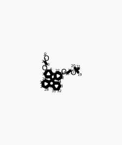 COCCOc1ccc(C2(c3ccc(OCCOC(C)(C)C)cc3)c3ccccc3-c3ccccc32)cc1